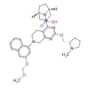 COCOc1cc(N2CCc3c(nc(OC[C@@H]4CCCN4C)nc3N3C[C@H]4CC[C@@H](C3)N4C(=O)O)C2)c2ccccc2c1